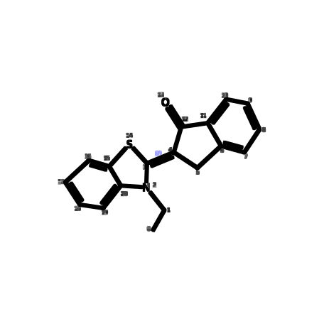 CCN1/C(=C2\Cc3ccccc3C2=O)Sc2ccccc21